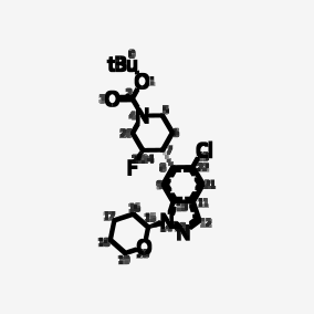 CC(C)(C)OC(=O)N1CC[C@H](c2cc3c(cnn3[C@@H]3CCCCO3)cc2Cl)[C@@H](F)C1